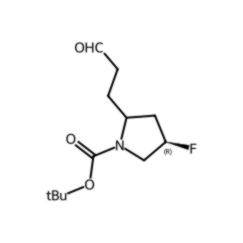 CC(C)(C)OC(=O)N1C[C@H](F)CC1CCC=O